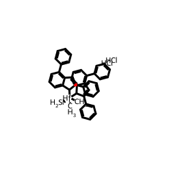 Cl.Cl.[CH3][Hf]([CH3])(=[SiH2])([CH]1C(c2ccccc2)=Cc2c(-c3ccccc3)cccc21)[CH]1C(c2ccccc2)=Cc2c(-c3ccccc3)cccc21